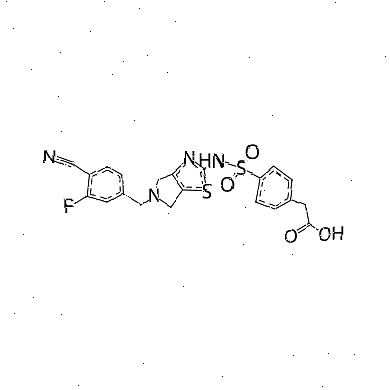 N#Cc1ccc(CN2Cc3nc(NS(=O)(=O)c4ccc(CC(=O)O)cc4)sc3C2)cc1F